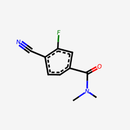 CN(C)C(=O)c1ccc(C#N)c(F)c1